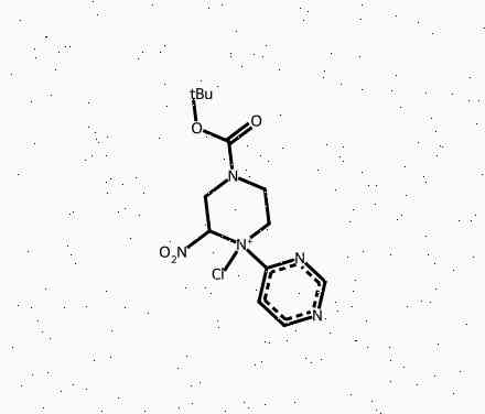 CC(C)(C)OC(=O)N1CC[N+](Cl)(c2ccncn2)C([N+](=O)[O-])C1